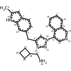 Cc1cc2ccc(Cc3cn(-c4cncc5ccccc45)nn3)cc2[nH]1.NCC1CCC1